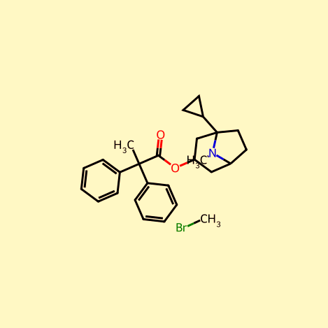 CBr.CN1C2CCC1(C1CC1)CC(OC(=O)C(C)(c1ccccc1)c1ccccc1)C2